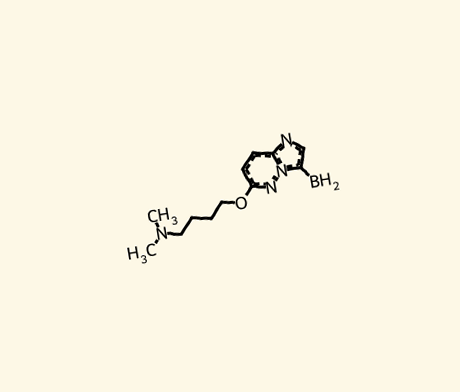 Bc1cnc2ccc(OCCCCN(C)C)nn12